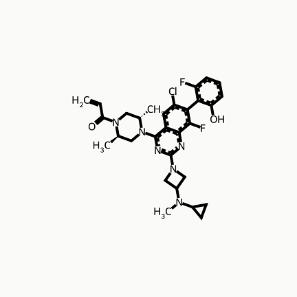 C=CC(=O)N1C[C@H](C)N(c2nc(N3CC(N(C)C4CC4)C3)nc3c(F)c(-c4c(O)cccc4F)c(Cl)cc23)C[C@H]1C